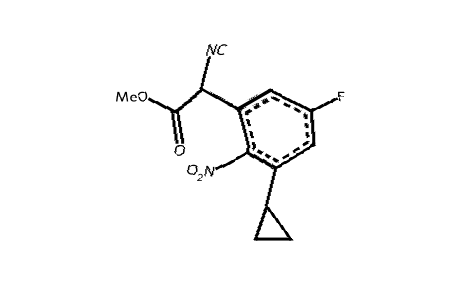 [C-]#[N+]C(C(=O)OC)c1cc(F)cc(C2CC2)c1[N+](=O)[O-]